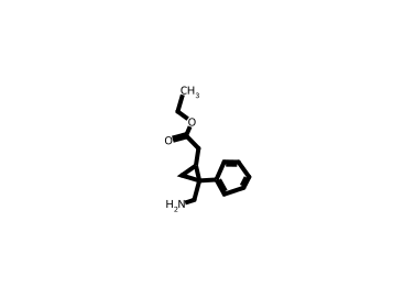 CCOC(=O)CC1CC1(CN)c1ccccc1